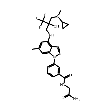 Cc1cc(NCC(O)(CN(C)C2CC2)C(F)(F)F)c2cnn(-c3cccc(C(=O)NCC(N)=O)c3)c2c1